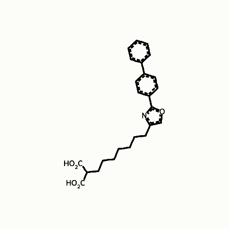 O=C(O)C(CCCCCCCc1coc(-c2ccc(-c3ccccc3)cc2)n1)C(=O)O